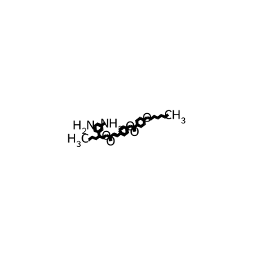 CCCCCCOC1CCC(C(=O)Oc2ccc(/C=C/C(=O)OCC(CCCC)c3cc(N)cc(N)c3)cc2)CC1